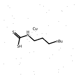 CCCCCCCNC(=S)S.[Cu]